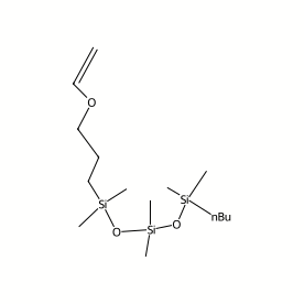 C=COCCC[Si](C)(C)O[Si](C)(C)O[Si](C)(C)CCCC